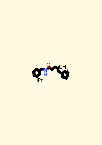 CC(CCC(=O)NCc1cccc(C(C)C)c1)Cc1ccccc1